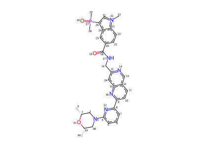 C[C@@H]1CN(c2cccc(-c3ccc4cnc(CNC(=O)c5ccc6c(c5)c(P(C)(C)=O)cn6C)cc4n3)n2)C[C@H](C)O1